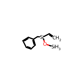 C=C[Si](Cc1ccccc1)O[SiH3]